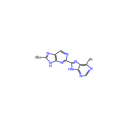 CC(C)c1ncnc2[nH]c(-c3ncc4nc(C(C)(C)C)[nH]c4n3)nc12